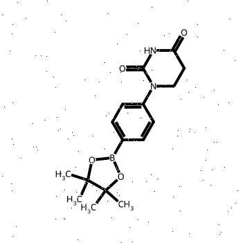 CC1(C)OB(c2ccc(N3CCC(=O)NC3=O)cc2)OC1(C)C